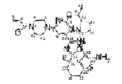 C=CC(=O)N1CCN(c2cc(-c3noc([C@@]4(C)CCCc5sc(N)c(C#N)c54)n3)nc(O[C@@H](C)[C@@H]3CCCN3C)n2)CC1